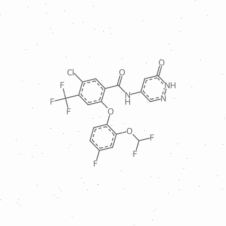 O=C(Nc1cn[nH]c(=O)c1)c1cc(Cl)c(C(F)(F)F)cc1Oc1ccc(F)cc1OC(F)F